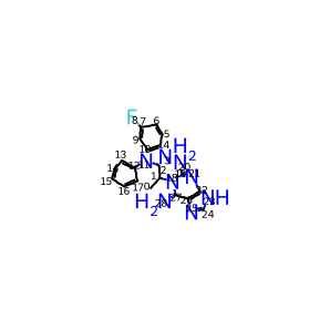 CC(c1nc2ccc(F)cc2n1-c1ccccc1)N1C(N)=Nc2[nH]cnc2C1N